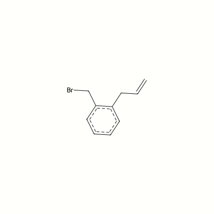 C=CCc1ccccc1CBr